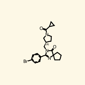 O=C(C1CC1)N1CC[C@@H](CN2C(=O)C3(CCCC3)N=C2c2ccc(Br)cc2)C1